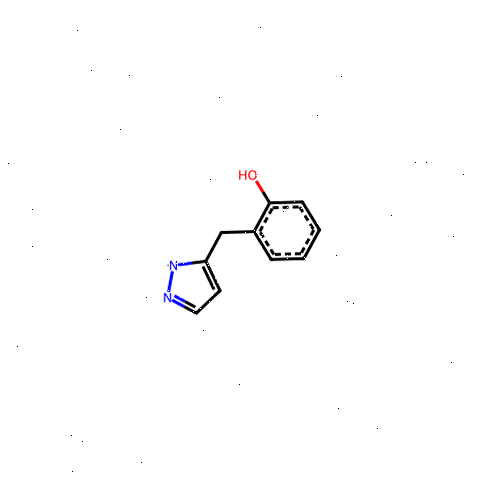 Oc1ccccc1CC1=CC=N[N]1